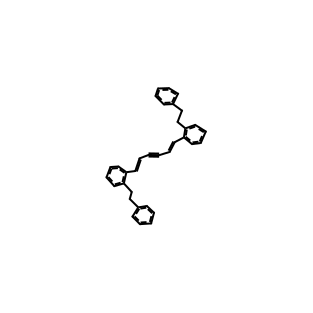 C(#CC=Cc1ccccc1CCc1ccccc1)C=Cc1ccccc1CCc1ccccc1